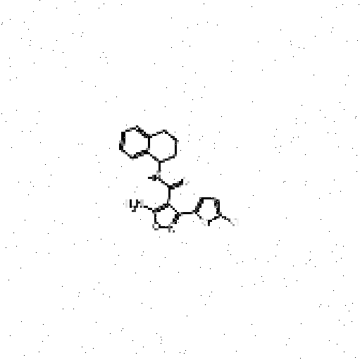 Nc1onc(-c2ccc(Cl)o2)c1C(=O)NC1CCCc2ccccc21